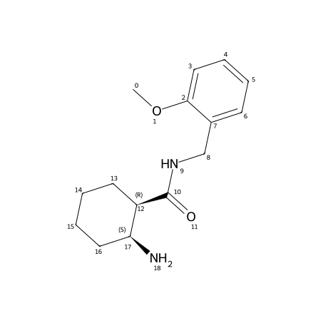 COc1ccccc1CNC(=O)[C@@H]1CCCC[C@@H]1N